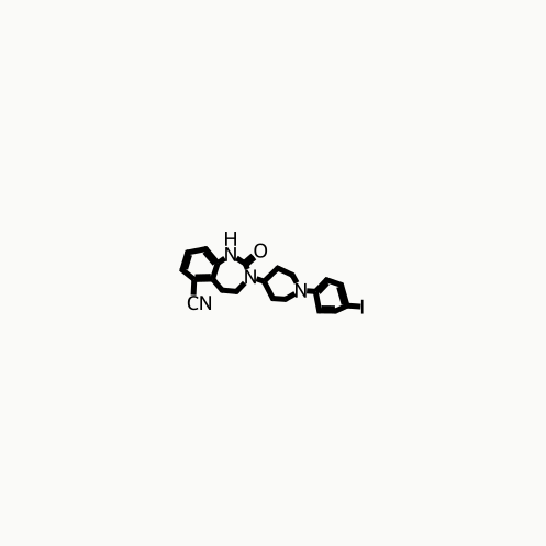 N#Cc1cccc2c1CCN(C1CCN(c3ccc(I)cc3)CC1)C(=O)N2